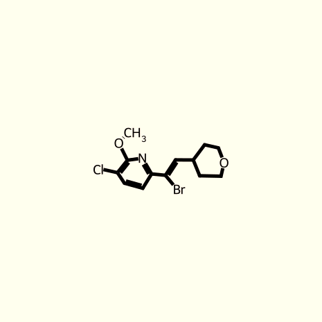 COc1nc(/C(Br)=C/C2CCOCC2)ccc1Cl